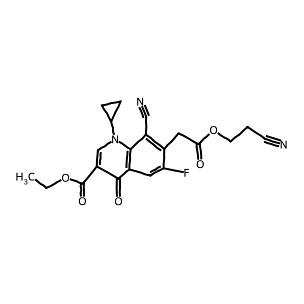 CCOC(=O)c1cn(C2CC2)c2c(C#N)c(CC(=O)OCCC#N)c(F)cc2c1=O